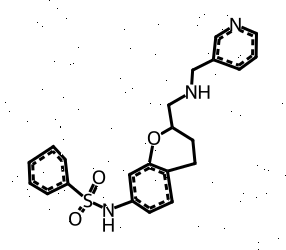 O=S(=O)(Nc1ccc2c(c1)OC(CNCc1cccnc1)CC2)c1ccccc1